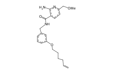 C=CCCCCOc1cccc(CNC(=O)c2ccc(COC)nc2N)c1